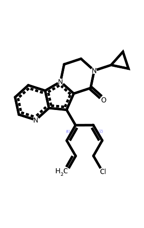 C=C/C=C(\C=C/CCl)c1c2n(c3cccnc13)CCN(C1CC1)C2=O